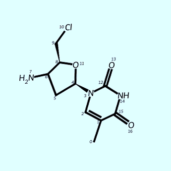 Cc1cn([C@H]2CC(N)[C@@H](CCl)O2)c(=O)[nH]c1=O